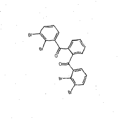 O=C(c1ccccc1C(=O)c1cccc(Br)c1Br)c1cccc(Br)c1Br